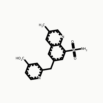 Cc1cnc2c(S(N)(=O)=O)cc(Cc3cc(C(=O)O)ccn3)cc2c1